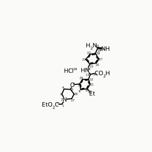 CCOC(=O)CN1CCC(Oc2cc(CC)cc(C(Nc3ccc(C(=N)N)cc3)C(=O)O)c2)CC1.Cl